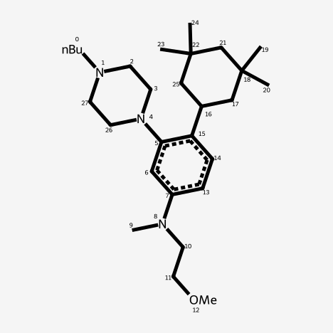 CCCCN1CCN(c2cc(N(C)CCOC)ccc2C2CC(C)(C)CC(C)(C)C2)CC1